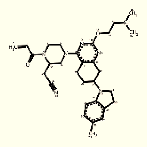 C=CC(=O)N1CCN(c2nc(OCCN(C)C)nc3c2CCC(N2CCc4cc(C)ccc42)C3)CC1CC#N